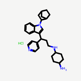 Cl.NC1CCC(NCCC(c2ccncc2)c2cn(C3CC4CCC3C4)c3ccccc23)CC1